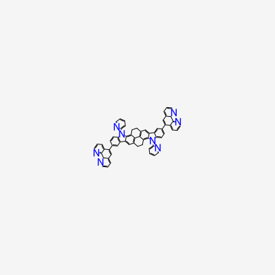 c1ccc(-n2c3ccc(-c4cc5cccnc5c5ncccc45)cc3c3cc4c5c(c32)CCc2cc3c6cc(-c7cc8cccnc8c8ncccc78)ccc6n(-c6ccccn6)c3c(c2-5)CC4)nc1